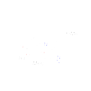 COC(=O)c1c(C)nn(C)c1C1=Cc2cc(OC)ccc2-c2c(C3CCCCC3)c3ccc(C(=O)OC(C)(C)C)cc3n2C1